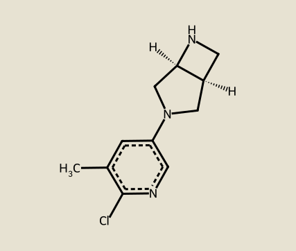 Cc1cc(N2C[C@@H]3CN[C@@H]3C2)cnc1Cl